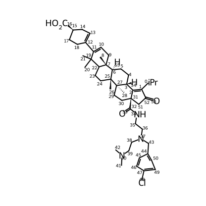 CC(C)C1=C2[C@H]3CC[C@@H]4[C@@]5(C)CC=C(C6=CC[C@H](C(=O)O)CC6)C(C)(C)C5CC[C@@]4(C)[C@]3(C)CC[C@@]2(C(=O)NCCN(CCN(C)C)Cc2ccc(Cl)cc2)CC1=O